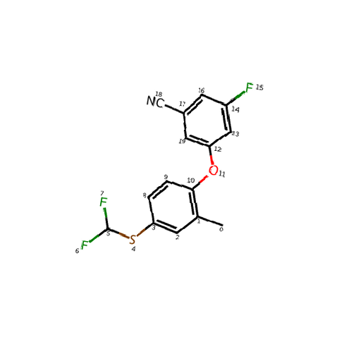 Cc1cc(SC(F)F)ccc1Oc1cc(F)cc(C#N)c1